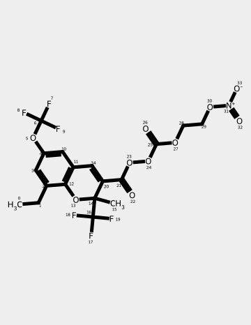 CCc1cc(OC(F)(F)F)cc2c1OC(C)(C(F)(F)F)C(C(=O)OOC(=O)OCCO[N+](=O)[O-])=C2